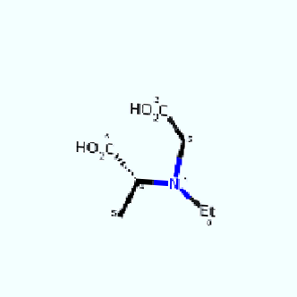 CCN(CC(=O)O)[C@H](C)C(=O)O